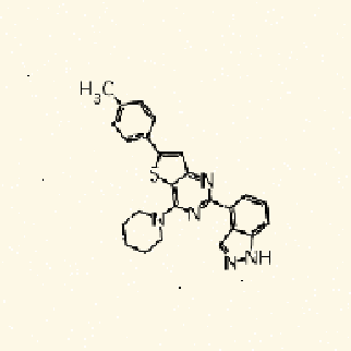 Cc1ccc(-c2cc3nc(-c4cccc5[nH]ncc45)nc(N4CCCCC4)c3s2)cc1